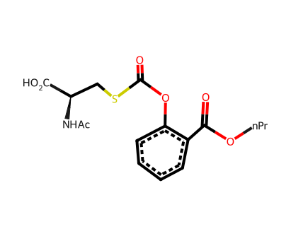 CCCOC(=O)c1ccccc1OC(=O)SC[C@@H](NC(C)=O)C(=O)O